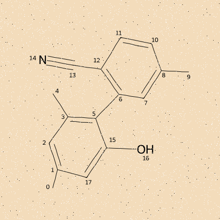 Cc1cc(C)c(-c2cc(C)ccc2C#N)c(O)c1